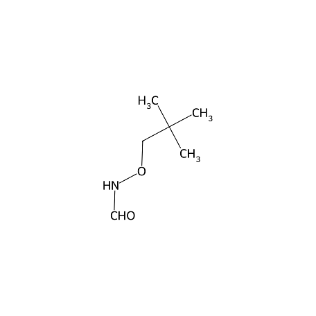 CC(C)(C)CONC=O